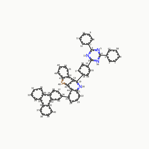 c1ccc(-c2nc(-c3ccccc3)nc(-c3ccc(-c4nc5cccc(-c6ccc7c8ccccc8c8ccccc8c7c6)c5c5sc6ccccc6c45)cc3)n2)cc1